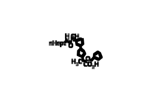 CCCCCCCNC(=O)N(C)c1cccc(-c2ccc(C(C)C(OCc3ccccc3)C(=O)O)cc2)c1